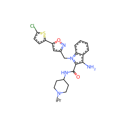 CC(C)N1CCC(NC(=O)c2c(N)c3ccccc3n2Cc2cc(-c3ccc(Cl)s3)on2)CC1